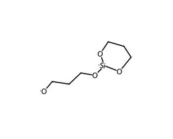 [O]CCCO[Si]1OCCCO1